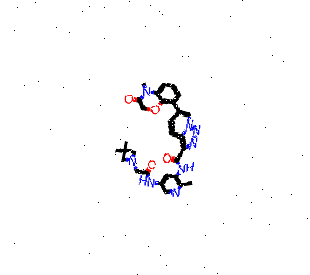 Cc1ncc(NC(=O)CN2CC(C)(C)C2)cc1NC(=O)c1nnn2cc(-c3cccc4c3OCC(=O)N4C)ccc12